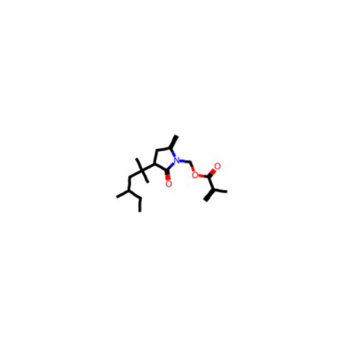 C=C(C)C(=O)OCN1C(=C)CC(C(C)(C)CC(C)CC)C1=O